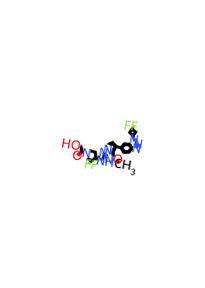 COc1nc(N[C@@H]2CCN(C(=O)CO)CC2(F)F)nn2ccc(-c3ccc4nnn(C5CC(F)(F)C5)c4c3)c12